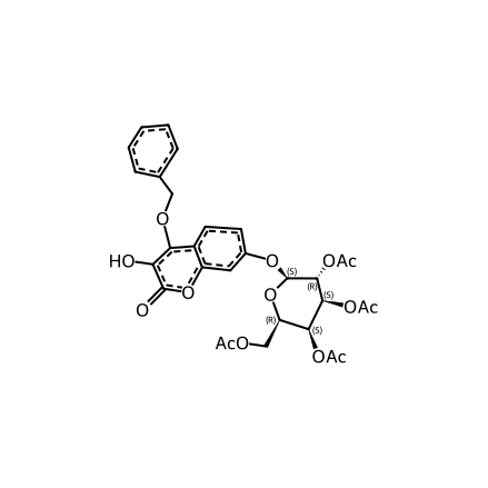 CC(=O)OC[C@H]1O[C@@H](Oc2ccc3c(OCc4ccccc4)c(O)c(=O)oc3c2)[C@H](OC(C)=O)[C@@H](OC(C)=O)[C@H]1OC(C)=O